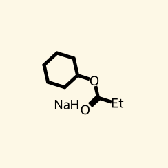 CCC(=O)OC1CCCCC1.[NaH]